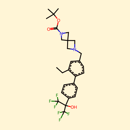 CCc1cc(CN2CC3(C2)CN(C(=O)OC(C)(C)C)C3)ccc1-c1ccc(C(O)(C(F)(F)F)C(F)(F)F)cc1